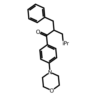 CC(C)CC(Cc1ccccc1)C(=O)c1ccc(N2CCOCC2)cc1